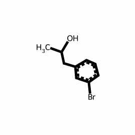 CC(O)Cc1cccc(Br)c1